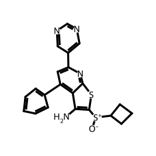 Nc1c([S+]([O-])C2CCC2)sc2nc(-c3cncnc3)cc(-c3ccccc3)c12